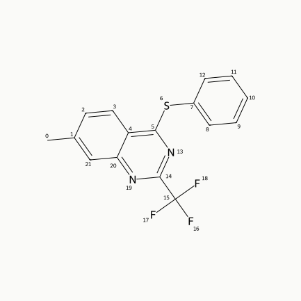 Cc1ccc2c(Sc3ccccc3)nc(C(F)(F)F)nc2c1